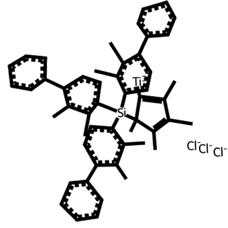 CC1=C(C)C(C)([Si](c2ccc(-c3ccccc3)c(C)c2C)(c2ccc(-c3ccccc3)c(C)c2C)c2ccc(-c3ccccc3)c(C)c2C)[C]([Ti+3])=C1C.[Cl-].[Cl-].[Cl-]